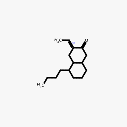 C/C=C1\CC2C(CCCC)CCCC2CC1=O